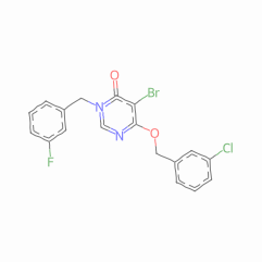 O=c1c(Br)c(OCc2cccc(Cl)c2)ncn1Cc1cccc(F)c1